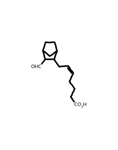 O=CC1C2CCC(C2)C1C/C=C\CCCC(=O)O